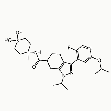 CC(C)Oc1cc(-c2nn(C(C)C)c3c2CCC(C(=O)NC2(C)CCS(O)(O)CC2)C3)c(F)cn1